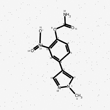 Cn1cc(-c2ccc(OC(N)=O)c([N+](=O)[O-])c2)cn1